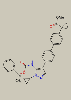 COC(=O)C1(c2ccc(-c3ccc(-c4cnn(C5CC5)c4NC(=O)O[C@H](C)c4ccccc4)cc3)cc2)CC1